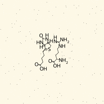 N=C(N)NCCCC(N)C(=O)O.O=C(O)CCCC[C@@H]1SC[C@@H]2NC(=O)N[C@@H]21